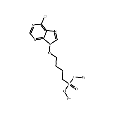 CCOP(=O)(CCCCOn1cnc2c(Cl)ncnc21)OCC